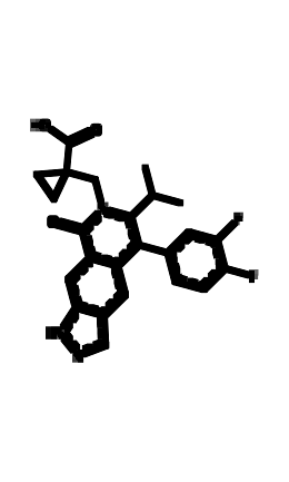 CC(C)c1c(-c2ccc(F)c(F)c2)c2cc3cn[nH]c3cc2c(=O)n1CC1(C(=O)O)CC1